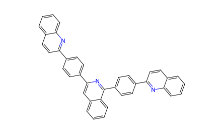 c1ccc2nc(-c3ccc(-c4cc5ccccc5c(-c5ccc(-c6ccc7ccccc7n6)cc5)n4)cc3)ccc2c1